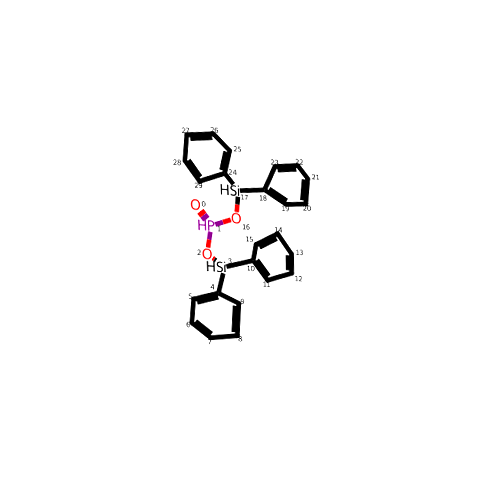 O=[PH](O[SiH](c1ccccc1)c1ccccc1)O[SiH](c1ccccc1)c1ccccc1